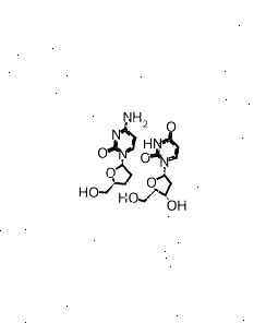 Nc1ccn([C@H]2CC[C@@H](CO)O2)c(=O)n1.O=c1ccn([C@H]2C[C@H](O)[C@@H](CO)O2)c(=O)[nH]1